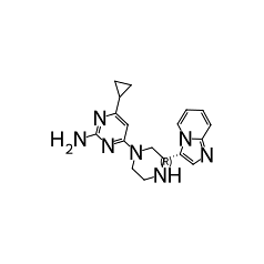 Nc1nc(C2CC2)cc(N2CCN[C@@H](c3cnc4ccccn34)C2)n1